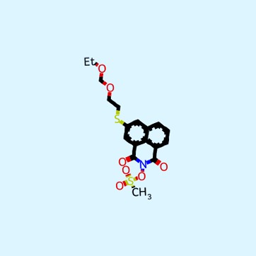 CCOCOCCSc1cc2c3c(cccc3c1)C(=O)N(OS(C)(=O)=O)C2=O